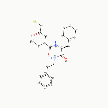 CC(C)CC(CC(=O)CS)C(=O)N[C@@H](CC1CCCCC1)C(=O)NCCc1ccccc1